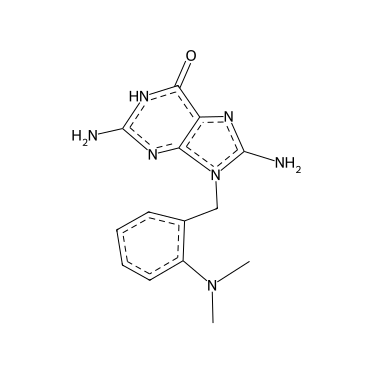 CN(C)c1ccccc1Cn1c(N)nc2c(=O)[nH]c(N)nc21